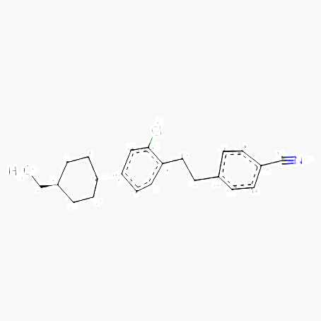 CC[C@H]1CC[C@H](c2ccc(CCc3ccc(C#N)cc3)c(Cl)c2)CC1